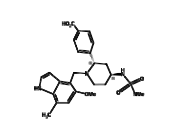 CNS(=O)(=O)N[C@H]1CCN(Cc2c(OC)cc(C)c3[nH]ccc23)[C@H](c2ccc(C(=O)O)cc2)C1